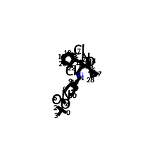 CC(C)(C)OC(=O)N1CC2C(/C=C/c3c(-c4c(Cl)cccc4Cl)noc3C3CC3)C2C1